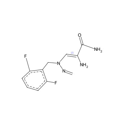 C=NN(/C=C(\N)C(N)=O)Cc1c(F)cccc1F